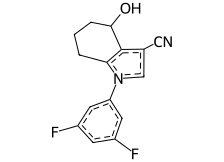 N#Cc1cn(-c2cc(F)cc(F)c2)c2c1C(O)CCC2